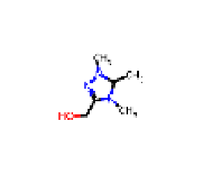 CC1N(C)N=C(CO)N1C